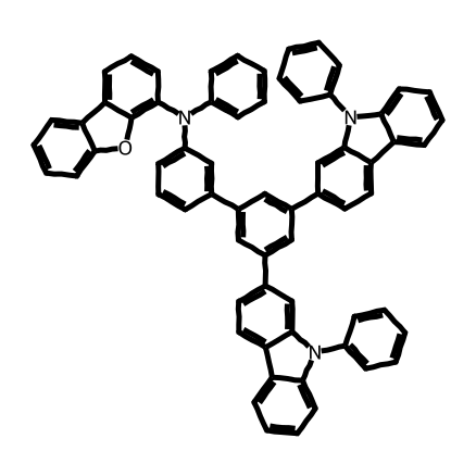 c1ccc(N(c2cccc(-c3cc(-c4ccc5c6ccccc6n(-c6ccccc6)c5c4)cc(-c4ccc5c6ccccc6n(-c6ccccc6)c5c4)c3)c2)c2cccc3c2oc2ccccc23)cc1